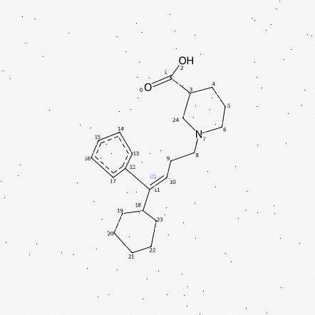 O=C(O)C1CCCN(CC/C=C(\c2ccccc2)C2CCCCC2)C1